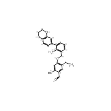 CCc1cc(C=O)c(O)cc1OCc1cccc(-c2ccc3c(c2)OCCO3)c1C